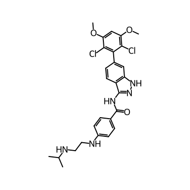 COc1cc(OC)c(Cl)c(-c2ccc3c(NC(=O)c4ccc(NCCNC(C)C)cc4)n[nH]c3c2)c1Cl